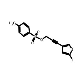 Cc1ccc(S(=O)(=O)OCC#Cc2csc(F)c2)cc1